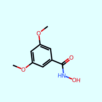 COc1cc(OC)cc(C(=O)NO)c1